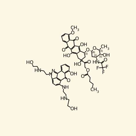 CCCCC(=O)OCC(=O)[C@]1(O)Cc2c(O)c3c(c(O)c2[C@@H](O[C@H]2C[C@H](NC(=O)C(F)(F)F)[C@H](O)[C@H](C)O2)C1)C(=O)c1c(OC)cccc1C3=O.O=C1c2c(O)cccc2-c2nn(CCNCCO)c3ccc(NCCNCCO)c1c23